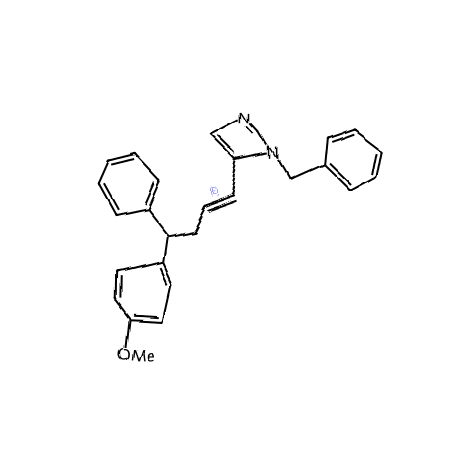 COc1ccc(C(C/C=C/c2cncn2Cc2ccccc2)c2ccccc2)cc1